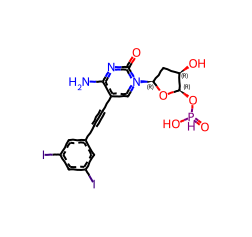 Nc1nc(=O)n([C@H]2C[C@@H](O)[C@@H](O[PH](=O)O)O2)cc1C#Cc1cc(I)cc(I)c1